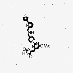 COc1cc(/C=C2\SC(=O)NC2=O)nc(N2CCC(CNCc3cccc(-c4ccsc4)n3)CC2)n1